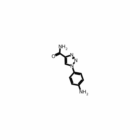 NC(=O)c1cn(-c2ccc(N)cc2)nn1